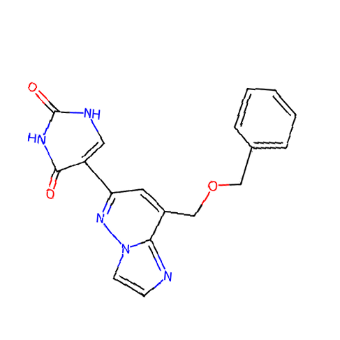 O=c1[nH]cc(-c2cc(COCc3ccccc3)c3nccn3n2)c(=O)[nH]1